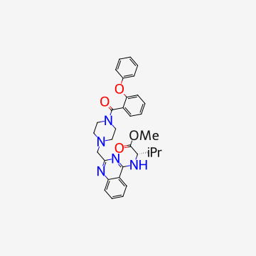 COC(=O)[C@@H](Nc1nc(CN2CCN(C(=O)c3ccccc3Oc3ccccc3)CC2)nc2ccccc12)C(C)C